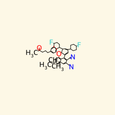 CC(=O)CCCc1cccc(Oc2cc(C(C)(C)C)cc3cc(C#N)c(C#N)c(C4=CC(C5CCC(F)CC5)=CC(C5CCC(F)CC5)C4)c23)c1